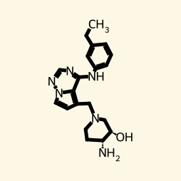 CCc1cccc(Nc2ncnn3ccc(CN4CC[C@@H](N)[C@@H](O)C4)c23)c1